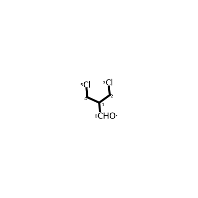 O=[C]C(CCl)CCl